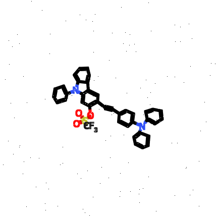 O=S(=O)(Oc1cc2c(cc1C#Cc1ccc(N(c3ccccc3)c3ccccc3)cc1)c1ccccc1n2-c1ccccc1)C(F)(F)F